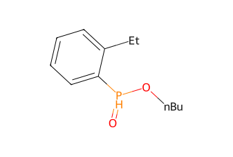 CCCCO[PH](=O)c1ccccc1CC